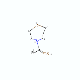 CC(C)C(=S)N1CCSCC1